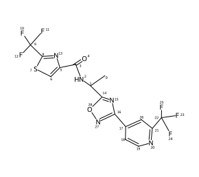 CC(NC(=O)c1csc(C(F)(F)F)n1)c1nc(-c2ccnc(C(F)(F)F)c2)no1